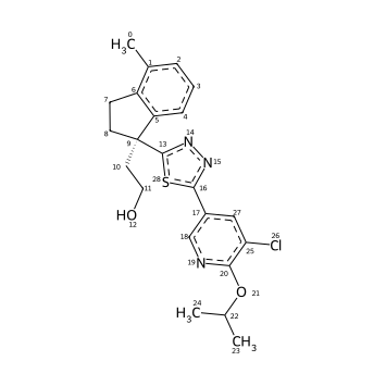 Cc1cccc2c1CC[C@]2(CCO)c1nnc(-c2cnc(OC(C)C)c(Cl)c2)s1